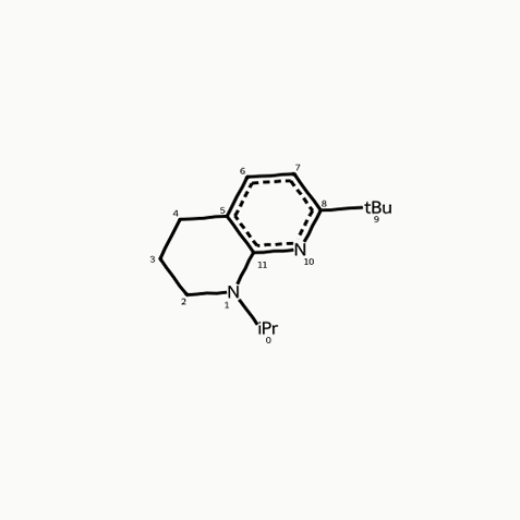 CC(C)N1CCCc2ccc(C(C)(C)C)nc21